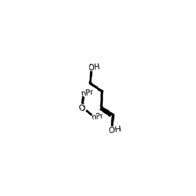 CCCOCCC.OC=CCCO